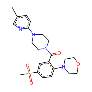 Cc1ccc(N2CCN(C(=O)c3cc(S(C)(=O)=O)ccc3N3CCOCC3)CC2)nc1